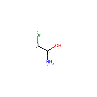 NC(O)CBr